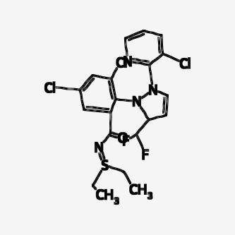 CCS(CC)=NC(=O)c1cc(Cl)cc(Cl)c1N1C(C(F)F)C=CN1c1ncccc1Cl